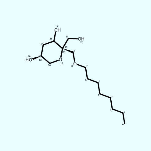 CCCCCCCCOC[C@@]1(CO)OC[C@@H](O)CC1O